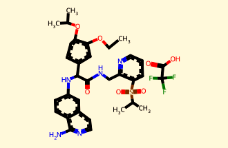 CCOc1cc(C(Nc2ccc3c(N)nccc3c2)C(=O)NCc2ncccc2S(=O)(=O)C(C)C)ccc1OC(C)C.O=C(O)C(F)(F)F